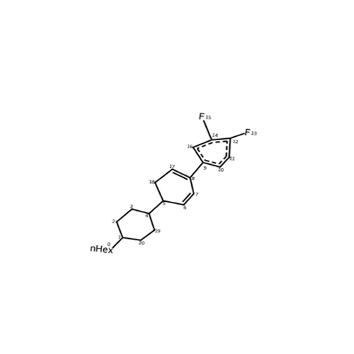 CCCCCCC1CCC(C2C=CC(c3ccc(F)c(F)c3)=CC2)CC1